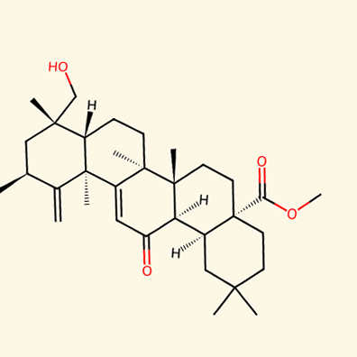 C=C1[C@@H](C)C[C@](C)(CO)[C@@H]2CC[C@]3(C)C(=CC(=O)[C@@H]4[C@@H]5CC(C)(C)CC[C@]5(C(=O)OC)CC[C@]43C)[C@@]12C